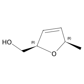 C[C@@H]1C=C[C@H](CO)O1